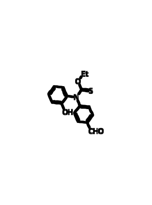 CCOC(=S)N(c1ccc(C=O)cc1)c1ccccc1O